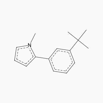 Cn1cccc1-c1cccc(C(C)(C)C)c1